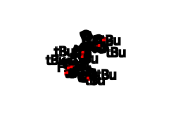 CC(C)(C)c1cc(CN2C(=[N+]3CC[N+](=C4N(Cc5cc(C(C)(C)C)c(F)c(C(C)(C)C)c5)[C@H](c5ccccc5)[C@@H](c5ccccc5)N4Cc4cc(C(C)(C)C)c(F)c(C(C)(C)C)c4)CC3)N(Cc3cc(C(C)(C)C)c(F)c(C(C)(C)C)c3)[C@H](c3ccccc3)[C@H]2c2ccccc2)cc(C(C)(C)C)c1F